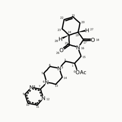 CC(=O)OC(CN1CCN(c2ncccn2)CC1)CN1C(=O)[C@H]2CC=CC[C@H]2C1=O